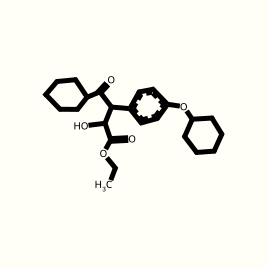 CCOC(=O)C(O)C(C(=O)C1CCCCC1)c1ccc(OC2CCCCC2)cc1